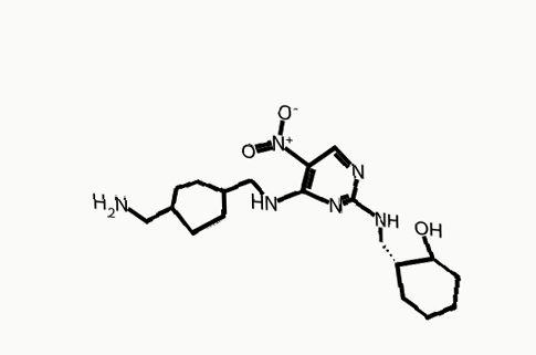 NCC1CCC(CNc2nc(NC[C@H]3CCCCC3O)ncc2[N+](=O)[O-])CC1